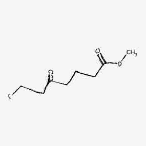 COC(=O)CCCC(=O)CCCl